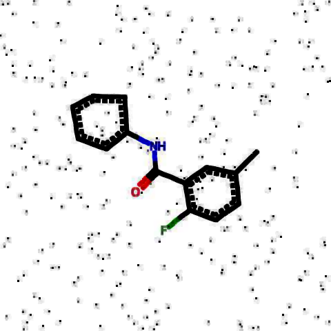 Cc1ccc(F)c(C(=O)Nc2ccccc2)c1